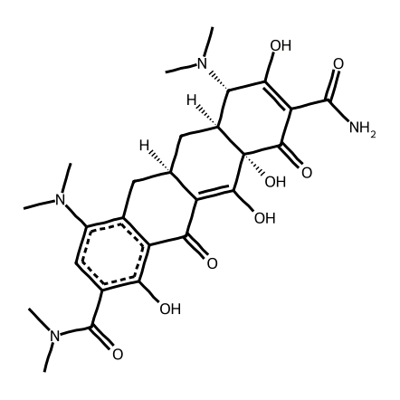 CN(C)C(=O)c1cc(N(C)C)c2c(c1O)C(=O)C1=C(O)[C@]3(O)C(=O)C(C(N)=O)=C(O)[C@@H](N(C)C)[C@@H]3C[C@@H]1C2